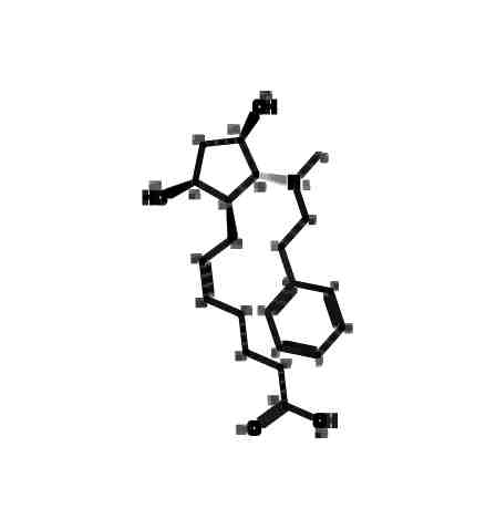 CN(CCc1ccccc1)[C@@H]1[C@@H](C/C=C\CCCC(=O)O)[C@@H](O)C[C@H]1O